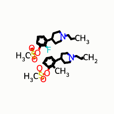 C=CCN1CCC(c2cccc(OS(C)(=O)=O)c2C)CC1.CCCN1CCC(c2cccc(OS(C)(=O)=O)c2F)CC1